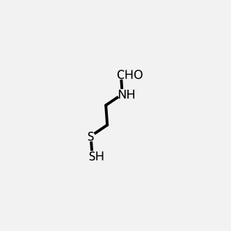 O=CNCCSS